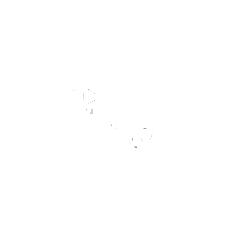 CNc1cc(C(C)=O)ccc1OCCCN1CCC(c2noc3cc(F)ccc23)CC1I